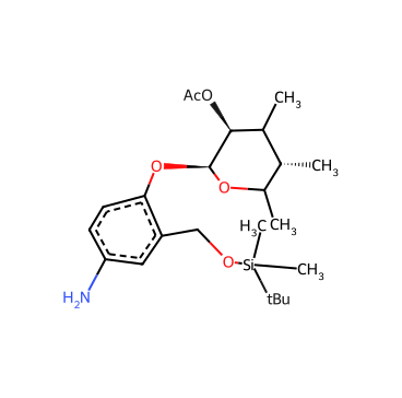 CC(=O)O[C@H]1C(C)[C@H](C)C(C)O[C@H]1Oc1ccc(N)cc1CO[Si](C)(C)C(C)(C)C